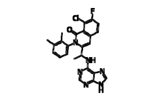 Cc1cccc(-n2c(C(C)Nc3ncnc4[nH]cnc34)cc3ccc(F)c(Cl)c3c2=O)c1C